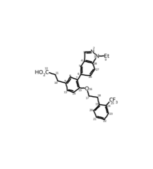 CCn1ncc2cc(-c3cc(CCC(=O)O)ccc3OCCc3ccccc3C(F)(F)F)ccc21